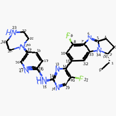 CC[C@H]1CCc2nc3c(F)cc(-c4nc(Nc5ccc(N6CCNCC6)cn5)ncc4F)cc3n21